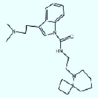 CN(C)CCc1cn(C(=O)NCCN2CCCCC23CCC3)c2ccccc12